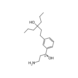 CCCC(O)(CCC)CCc1cccc([C@@H](O)CCN)c1